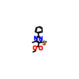 CCOC(=O)c1c(C)nc(-c2ccccc2)nc1SC